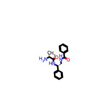 C[C@@H](N)C(=O)N[C@H](CNC(=O)c1ccccc1)c1ccccc1